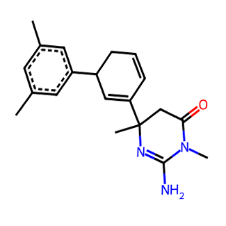 Cc1cc(C)cc(C2C=C(C3(C)CC(=O)N(C)C(N)=N3)C=CC2)c1